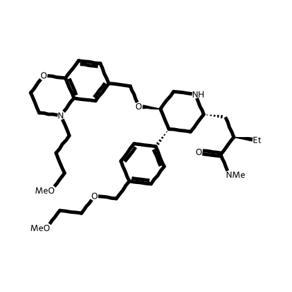 CC[C@H](C[C@@H]1C[C@H](c2ccc(COCCOC)cc2)[C@@H](OCc2ccc3c(c2)N(CCCOC)CCO3)CN1)C(=O)NC